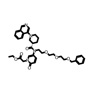 CCOC(=O)Cn1cc(N(CCOCCOCCOCc2ccccc2)C(=O)[C@H]2CCCN(c3cncc4ccccc34)C2)ccc1=O